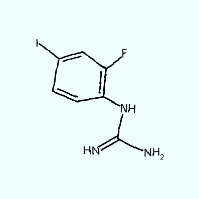 N=C(N)Nc1ccc(I)cc1F